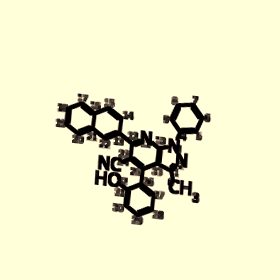 Cc1nn(-c2ccccc2)c2nc(-c3ccc4ccccc4c3)c(C#N)c(-c3ccccc3O)c12